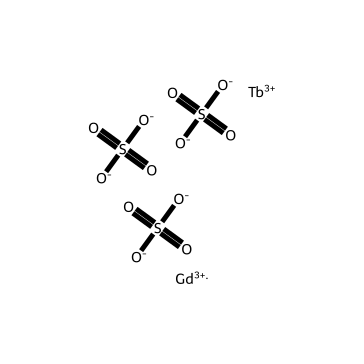 O=S(=O)([O-])[O-].O=S(=O)([O-])[O-].O=S(=O)([O-])[O-].[Gd+3].[Tb+3]